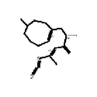 C=C(/C=C(\C)N=C=O)[C@@H](C)C/C1=C/CCCC(C)CC1